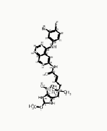 COC1NC(C[N+](C)(C)C/C=C/C(=O)Nc2cc3c(Nc4ccc(F)c(Br)c4)ncnc3cn2)=C([N+](=O)[O-])N1